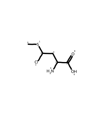 CSC(Cl)CC(N)C(=O)O